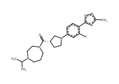 Cc1noc(-c2ccc(N3CC[C@H](C(=O)N4CCCN(C(C)C)CC4)C3)cc2F)n1